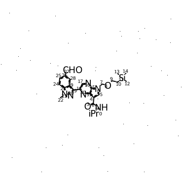 CC(C)NC(=O)c1cn(COCC[Si](C)(C)C)c2ncc(-c3nn(C)c4ccc(C=O)cc34)nc12